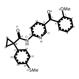 COc1ccccc1C(=O)c1ccc(NC(=O)C2(c3ccc(SC)cc3)CC2)nc1